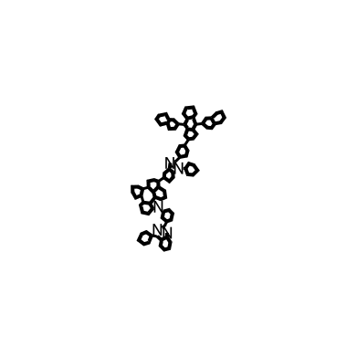 c1ccc(-c2nc(-c3cccc(-n4c5cccc6c5c5c7c(ccc(-c8ccc9c(c8)nc(-c8ccc(-c%10ccc%11c(-c%12ccc%13ccccc%13c%12)c%12ccccc%12c(-c%12ccc%13ccccc%13c%12)c%11c%10)cc8)n9-c8ccccc8)c7ccc54)-c4ccccc4-6)c3)nc3ccccc23)cc1